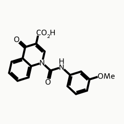 COc1cccc(NC(=O)n2cc(C(=O)O)c(=O)c3ccccc32)c1